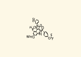 CCOc1cccc(-n2c(=O)c(NC(=O)c3ccc(OC(F)F)cc3)c(-c3c(F)cc(OC)cc3F)n2C)c1